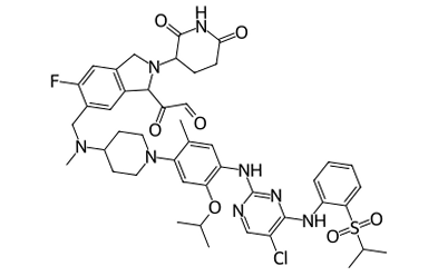 Cc1cc(Nc2ncc(Cl)c(Nc3ccccc3S(=O)(=O)C(C)C)n2)c(OC(C)C)cc1N1CCC(N(C)Cc2cc3c(cc2F)CN(C2CCC(=O)NC2=O)C3C(=O)C=O)CC1